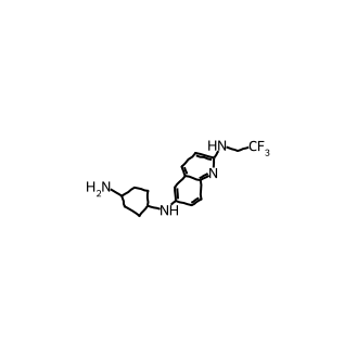 NC1CCC(Nc2ccc3nc(NCC(F)(F)F)ccc3c2)CC1